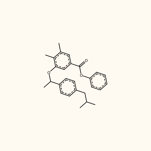 Cc1cc(C(=O)Oc2ccccc2)cc(OC(C)c2ccc(CC(C)C)cc2)c1C